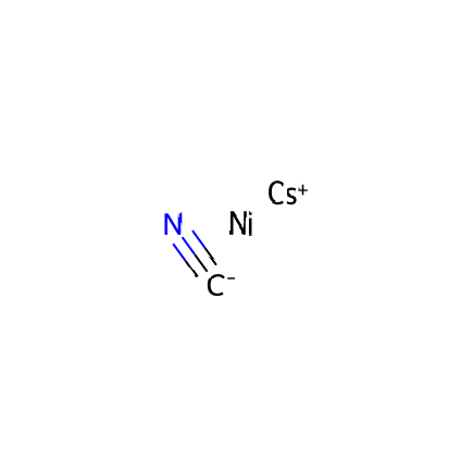 [C-]#N.[Cs+].[Ni]